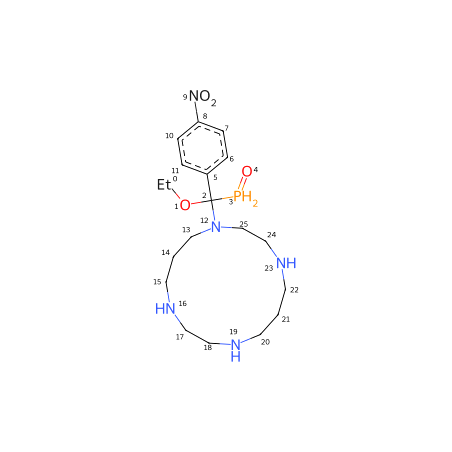 CCOC([PH2]=O)(c1ccc([N+](=O)[O-])cc1)N1CCCNCCNCCCNCC1